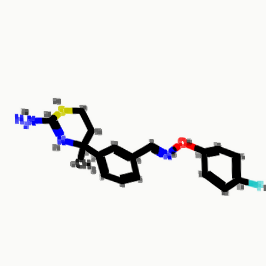 CC1(c2cccc(/C=N/Oc3ccc(F)cc3)c2)CCSC(N)=N1